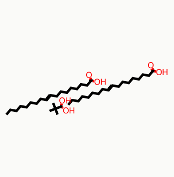 CC(C)(C)C(O)O.CCCCCCCCC=CCCCCCCCC(=O)O.CCCCCCCCC=CCCCCCCCC(=O)O